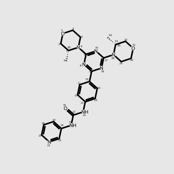 C[C@@H]1COCCN1c1nc(-c2ccc(NC(=O)Nc3cccnc3)cc2)nc(N2CCOC[C@H]2C)n1